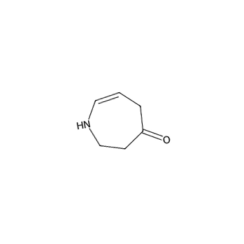 O=C1CC=CNCC1